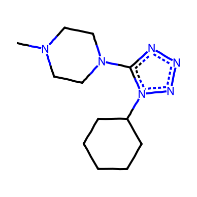 CN1CCN(c2nnnn2C2CCCCC2)CC1